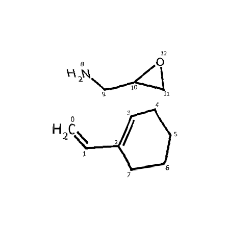 C=CC1=CCCCC1.NCC1CO1